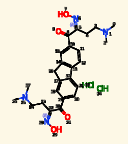 CN(C)CC/C(=N/O)C(=O)c1ccc2c(c1)Cc1cc(C(=O)/C(CCN(C)C)=N\O)ccc1-2.Cl.Cl